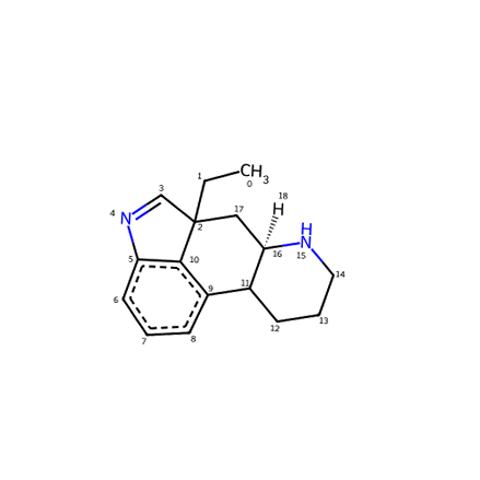 CCC12C=Nc3cccc(c31)C1CCCN[C@@H]1C2